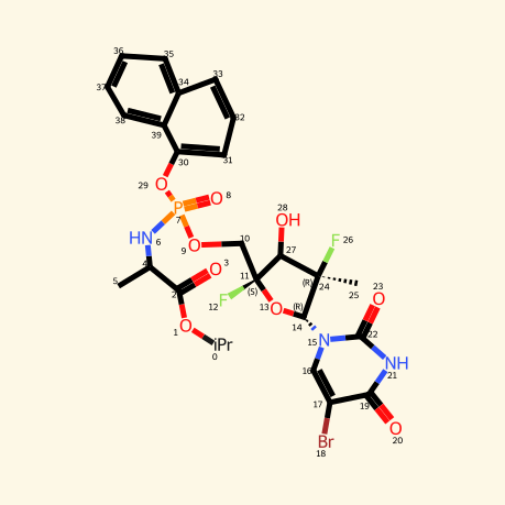 CC(C)OC(=O)C(C)NP(=O)(OC[C@@]1(F)O[C@@H](n2cc(Br)c(=O)[nH]c2=O)[C@](C)(F)C1O)Oc1cccc2ccccc12